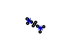 c1ccc(-c2nc(-c3ccccc3)nc(-c3ccc(-c4c5ccccc5c(-c5ccc(-c6nc7ccccc7n6-c6ccccc6)nc5)c5ccccc45)cc3)n2)cc1